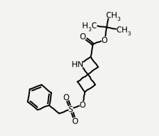 CC(C)(C)OC(=O)C1CC2(CC(OS(=O)(=O)Cc3ccccc3)C2)N1